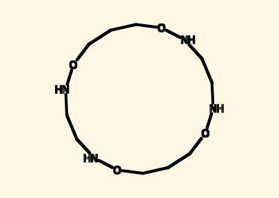 C1CONCCNOCCCONCCNOC1